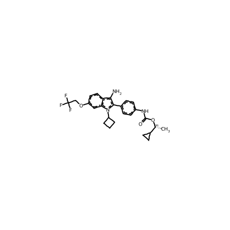 C[C@@H](OC(=O)Nc1ccc(-c2c(N)c3ccc(OCC(F)(F)F)cc3n2C2CCC2)cc1)C1CC1